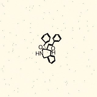 O=C1NCc2ccccc2[C@@H]2OC(c3ccccc3)=C[C@]12Cc1ccccc1